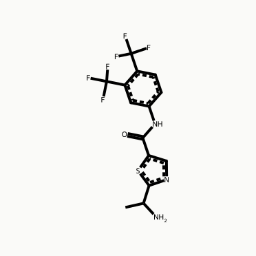 CC(N)c1ncc(C(=O)Nc2ccc(C(F)(F)F)c(C(F)(F)F)c2)s1